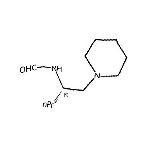 CCC[C@@H](CN1CCCCC1)NC=O